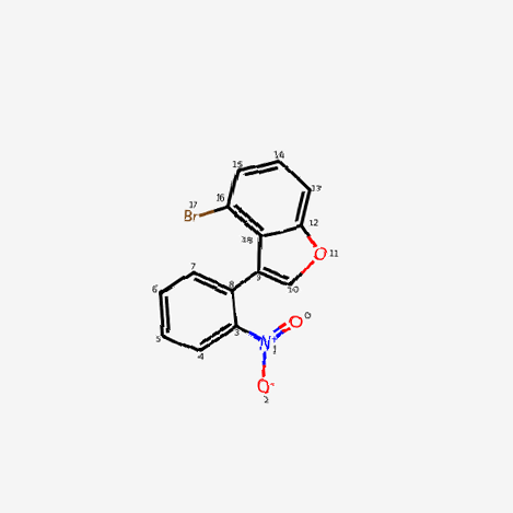 O=[N+]([O-])c1ccccc1-c1coc2cccc(Br)c12